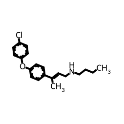 CCCCNCC=C(C)c1ccc(Oc2ccc(Cl)cc2)cc1